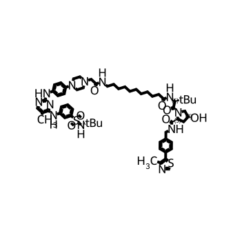 Cc1cnc(Nc2ccc(N3CCN(CC(=O)NCCCCCCCCCCC(=O)N[C@H](C(=O)N4C[C@H](O)C[C@H]4C(=O)NCc4ccc(-c5scnc5C)cc4)C(C)(C)C)CC3)cc2)nc1Nc1cccc(S(=O)(=O)NC(C)(C)C)c1